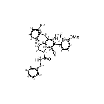 COc1cccc(-c2c(C)c(Cc3c(F)cccc3F)c3n(c2=O)C(C(=O)NCc2ccccc2)CS3)c1F